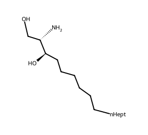 CCCCCCCCCCCCC[C@@H](O)[C@@H](N)CO